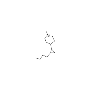 CCCCC1CC1C1CCN(C)CC1